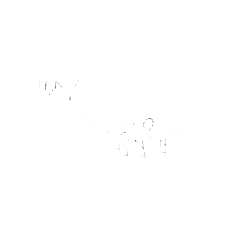 NC(=O)OCCc1ccc(S(=O)(=O)NC(=O)NC2CCCCC2)cc1